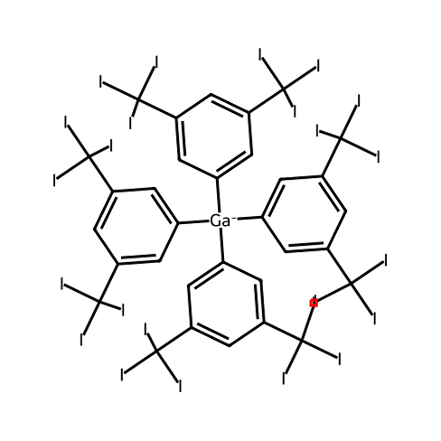 IC(I)(I)c1cc(C(I)(I)I)c[c]([Ga-]([c]2cc(C(I)(I)I)cc(C(I)(I)I)c2)([c]2cc(C(I)(I)I)cc(C(I)(I)I)c2)[c]2cc(C(I)(I)I)cc(C(I)(I)I)c2)c1